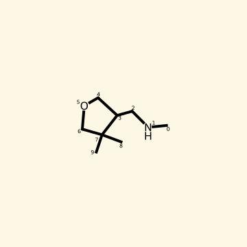 CNCC1COCC1(C)C